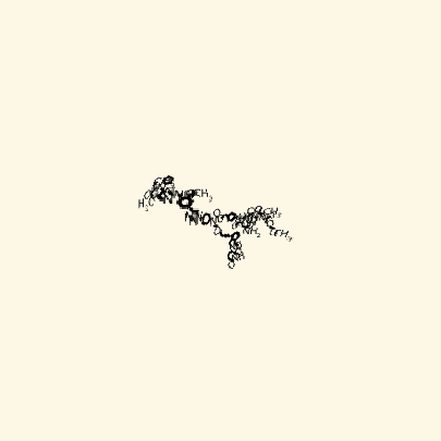 CC[C@@H]1C(=O)N(C)c2cnc(Nc3ccc(-c4cn([C@H]5CC[C@@H](N(CCOCCC#Cc6cccc7c6CN(C6CCC(=O)NC6=O)C7=O)C(=O)OCc6ccc(NC(=O)[C@H](CC(N)=O)NC(=O)[C@H](C)NC(=O)[C@H](C)NC(=O)COCCOC)cc6)CC5)nn4)cc3OC)nc2N1C1CCCC1